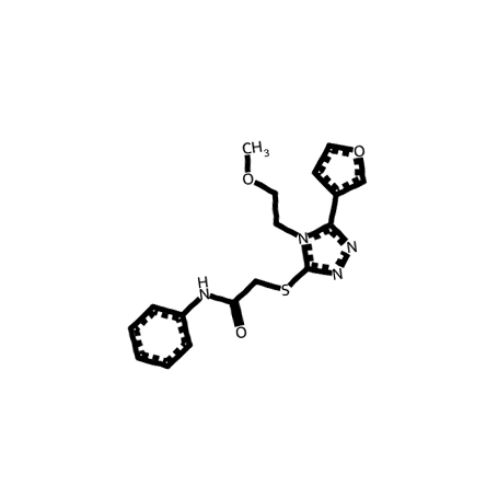 COCCn1c(SCC(=O)Nc2ccccc2)nnc1-c1ccoc1